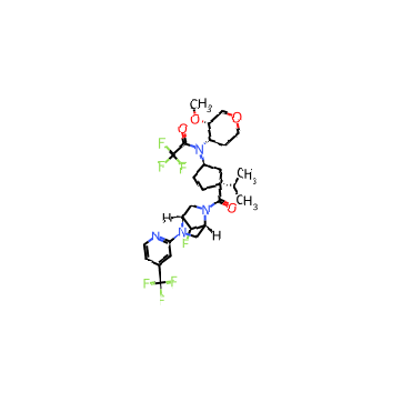 CO[C@@H]1COCC[C@@H]1N(C(=O)C(F)(F)F)[C@@H]1CC[C@@](C(=O)N2C[C@@H]3C(F)[C@H]2CN3c2cc(C(F)(F)F)ccn2)(C(C)C)C1